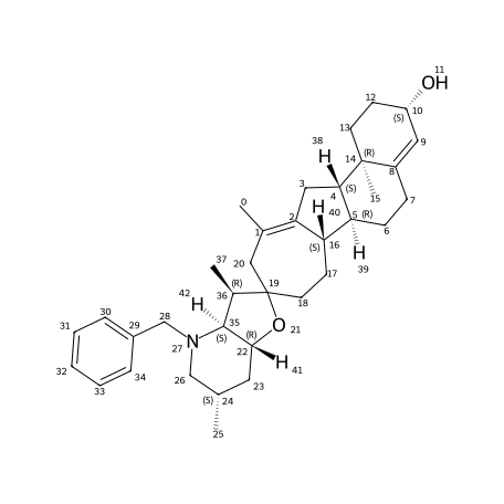 CC1=C2C[C@H]3[C@@H](CCC4=C[C@@H](O)CC[C@@]43C)[C@@H]2CCC2(C1)O[C@@H]1C[C@H](C)CN(Cc3ccccc3)[C@H]1[C@H]2C